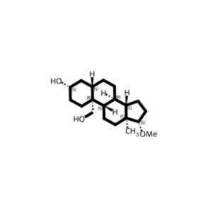 CO[C@H]1CC[C@H]2[C@@H]3CC[C@H]4C[C@@H](O)CC[C@]4(CO)[C@H]3CC[C@]12C